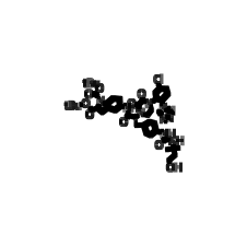 CC(C)(CCO)NC(=O)Nc1ccc(C[C@@H](C(=O)Nc2ccc3c(c2)cc(C(=O)OC(C)(C)C)n3C(=O)OC(C)(C)C)N2CCN(c3cc(Cl)ccc3-n3cnnn3)C(=O)C2=O)cc1